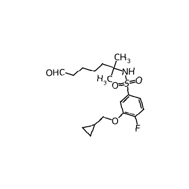 CC(C)(CCCCC=O)NS(=O)(=O)c1ccc(F)c(OCC2CC2)c1